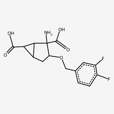 NC1(C(=O)O)C(OCc2ccc(F)c(F)c2)CC2C(C(=O)O)C21